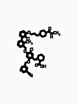 CNC(=O)C1CCN(CCCOc2cccc(-c3cccc(COc4cc(OCc5cncc(C#N)c5)c(CN5CCCCC5C(=O)O)cc4Cl)c3C)c2Cl)CC1